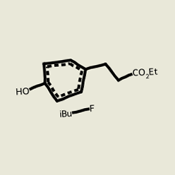 CCC(C)F.CCOC(=O)CCc1ccc(O)cc1